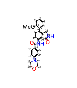 COc1ccccc1-c1ccc(NC(=O)c2ccc(N3CCOCC3)cc2)c2c1CNC2=O